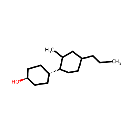 CCCC1CCC([C@H]2CC[C@H](O)CC2)C(C)C1